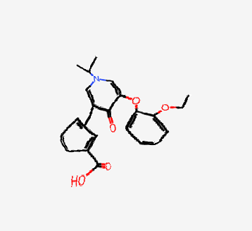 CCOc1ccccc1Oc1cn(C(C)C)cc(-c2cccc(C(=O)O)c2)c1=O